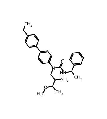 CCc1ccc(-c2ccc(N(CC(N)C(C)OC)C(=O)NC(C)c3ccccc3)cc2)cc1